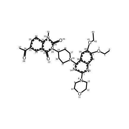 CCOc1cc2nc(N3CCOCC3)nc(N3CCC(n4c(=O)c5cc(C(C)=O)ccc5n(C)c4=O)CC3)c2cc1OCC